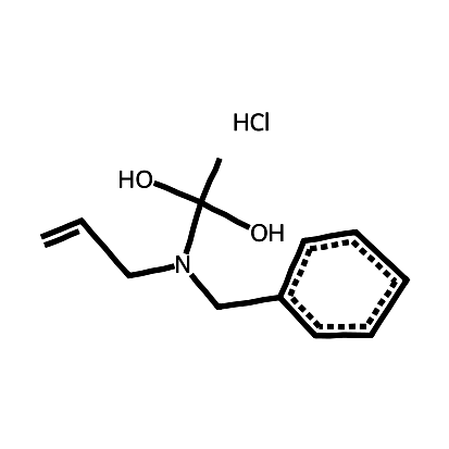 C=CCN(Cc1ccccc1)C(C)(O)O.Cl